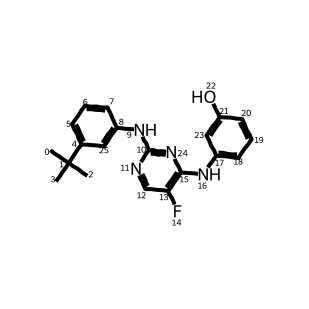 CC(C)(C)c1cccc(Nc2ncc(F)c(Nc3cccc(O)c3)n2)c1